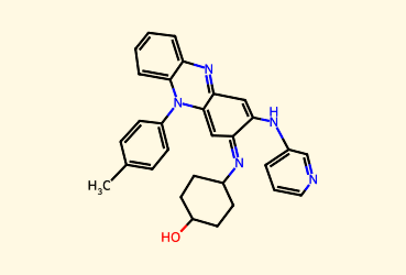 Cc1ccc(-n2c3cc(=NC4CCC(O)CC4)c(Nc4cccnc4)cc-3nc3ccccc32)cc1